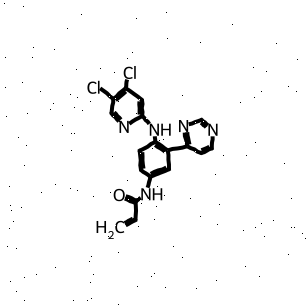 C=CC(=O)Nc1ccc(Nc2cc(Cl)c(Cl)cn2)c(-c2ccncn2)c1